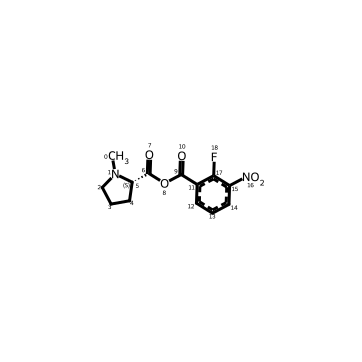 CN1CCC[C@H]1C(=O)OC(=O)c1cccc([N+](=O)[O-])c1F